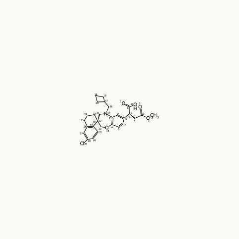 COC(=O)C[C@H](C(=O)O)c1ccc2c(c1)N(CC1CCC1)C[C@@]1(CCCc3cc(Cl)ccc31)CO2